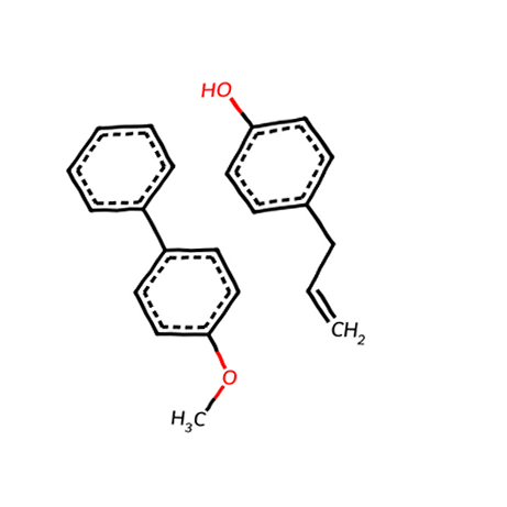 C=CCc1ccc(O)cc1.COc1ccc(-c2ccccc2)cc1